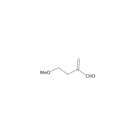 C=C([C]=O)CCOC